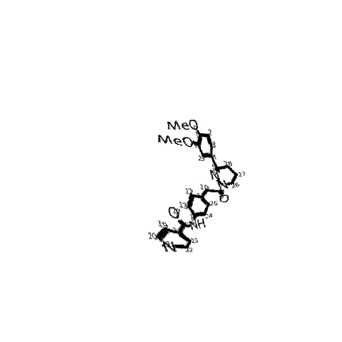 COc1ccc(C2=NN(C(=O)Cc3ccc(NC(=O)c4ccncc4)cc3)CCC2)cc1OC